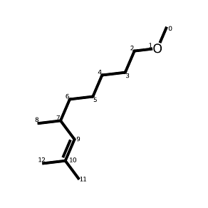 COCCCCCC(C)C=C(C)C